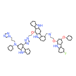 CN(CCOc1cc(Oc2ccccc2)cc2c1[nH]c1ccc(F)cc12)Cc1cccc2[nH]c3c(OCCn4cnc(-c5cc(N(CCCn6cncn6)c6ccccc6)cc6[nH]c7ccccc7c56)n4)c4c(cc3c12)[nH]c1ccccc14